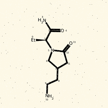 CC[C@@H](C(N)=O)N1CC(CCN)CC1=O